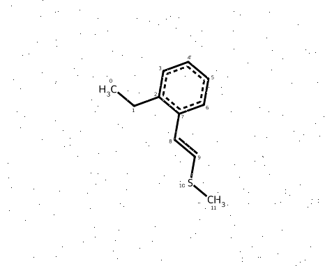 CCc1ccccc1C=CSC